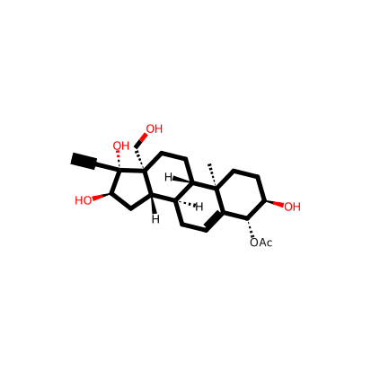 C#C[C@]1(O)[C@H](O)C[C@H]2[C@@H]3CC=C4[C@@H](OC(C)=O)[C@H](O)CC[C@]4(C)[C@H]3CC[C@@]21CO